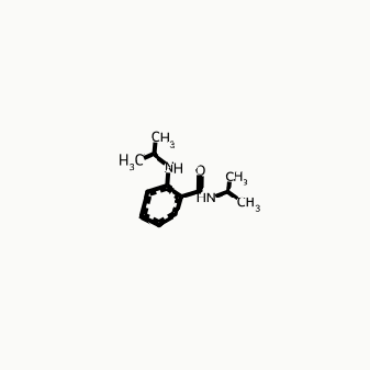 CC(C)NC(=O)c1ccccc1NC(C)C